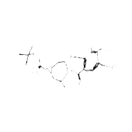 C[C@H]1CN(C(=O)OC(C)(C)C)CCN1C(=O)c1cc(F)c(Cl)nc1Cl